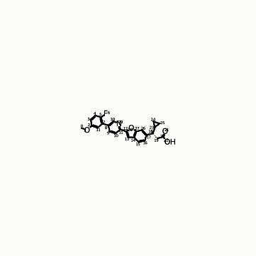 COc1ccc(F)c(-c2ccc(-c3cc4ccc([C@@H](CC(=O)O)C5CC5)cc4o3)nc2)c1